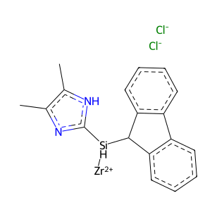 Cc1nc([SiH]([Zr+2])C2c3ccccc3-c3ccccc32)[nH]c1C.[Cl-].[Cl-]